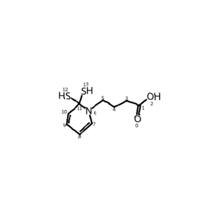 O=C(O)CCCN1C=CC=CC1(S)S